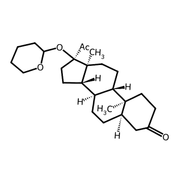 CC(=O)[C@@]1(OC2CCCCO2)CC[C@H]2[C@@H]3CC[C@@H]4CC(=O)CC[C@]4(C)[C@H]3CC[C@@]21C